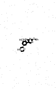 CC(C)Oc1ncc2c(n1)[nH]c1ccc([C@H]3CNCCO3)cc12.Cl